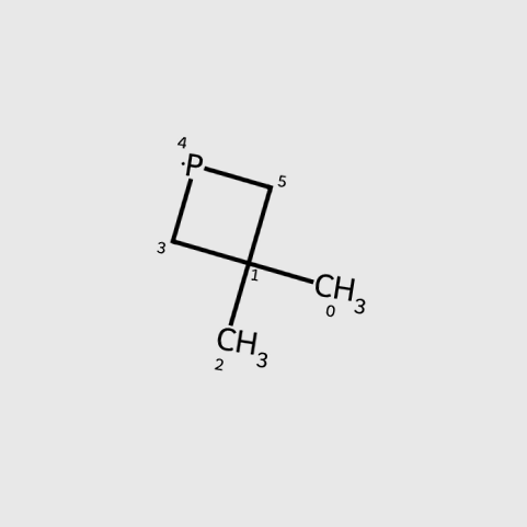 CC1(C)C[P]C1